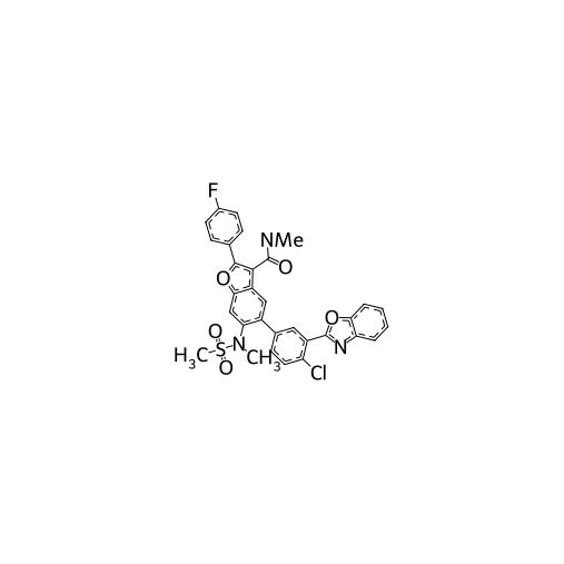 CNC(=O)c1c(-c2ccc(F)cc2)oc2cc(N(C)S(C)(=O)=O)c(-c3ccc(Cl)c(-c4nc5ccccc5o4)c3)cc12